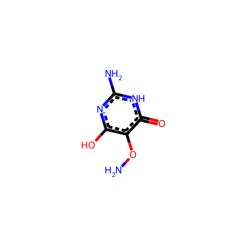 NOc1c(O)nc(N)[nH]c1=O